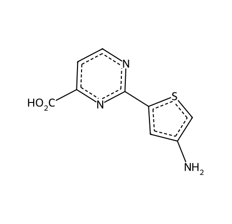 Nc1csc(-c2nccc(C(=O)O)n2)c1